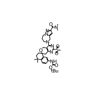 CN(C)C(=O)c1cc2n(n1)CCCN(c1nc(S(C)(=O)=O)nc3c1COC1(CCC(C)(C)c4ccc(NC(=O)OC(C)(C)C)cc41)C3)C2